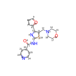 O=C(Nc1nc(-c2ccco2)c(CN2CCOCC2)s1)c1ccncc1